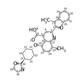 Cc1c(-c2cc(C(=O)O)c3c(O[C@H]4CC[C@H](c5ncco5)CC4)ccc(C)c3n2)oc2ccccc12